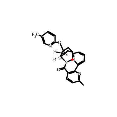 Cc1ccc(C(=O)N2CC3CC[C@H]2[C@H](Oc2ccc(C(F)(F)F)cn2)C3)c(-c2ccccn2)n1